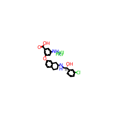 Cl.Cl.Nc1cc(Oc2ccc3c(c2)C[C@@H](NC[C@H](O)c2cccc(Cl)c2)CC3)cc(C(=O)O)c1